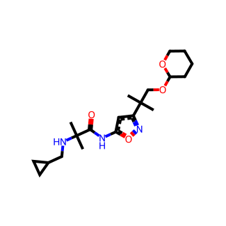 CC(C)(NCC1CC1)C(=O)Nc1cc(C(C)(C)COC2CCCCO2)no1